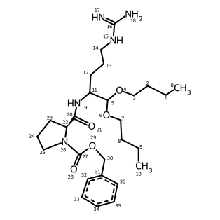 CCCCOC(OCCCC)C(CCCNC(=N)N)NC(=O)[C@@H]1CCCN1C(=O)OCc1ccccc1